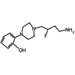 NCCC(F)CN1CCN(c2ccccc2O)CC1